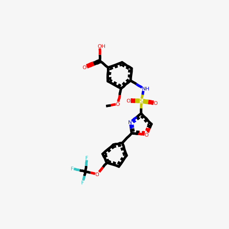 COc1cc(C(=O)O)ccc1NS(=O)(=O)c1coc(-c2ccc(OC(F)(F)F)cc2)n1